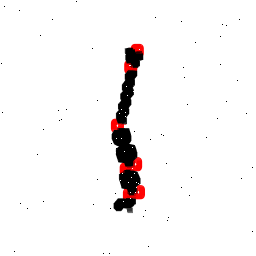 CC[C@@H](C)COC(=O)c1ccc(OC(=O)c2ccc(-c3ccc(OCCCCCCCCCCCOCC4(C)COC4)cc3)cc2)cc1